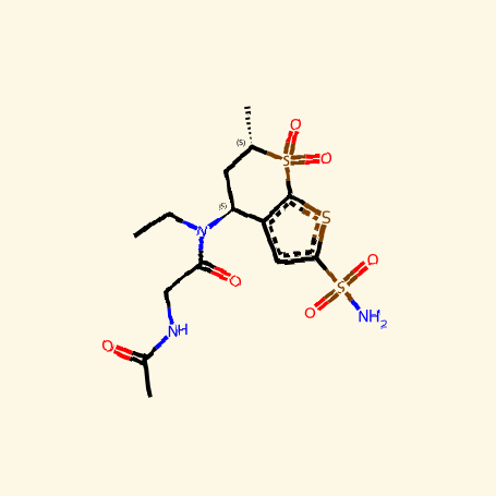 CCN(C(=O)CNC(C)=O)[C@H]1C[C@H](C)S(=O)(=O)c2sc(S(N)(=O)=O)cc21